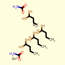 CCCC(S)S.CCCC(S)S.CCCC(S)S.CCCC(S)S.NC(=O)[O-].NC(=O)[O-].[Zn+2]